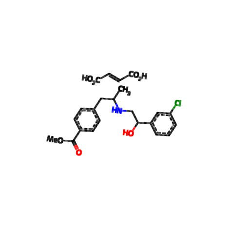 COC(=O)c1ccc(CC(C)NCC(O)c2cccc(Cl)c2)cc1.O=C(O)/C=C/C(=O)O